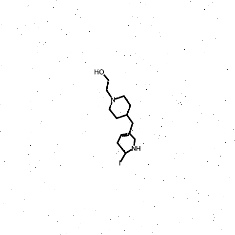 OCCN1CCC(CC2=CCC(I)NC2)CC1